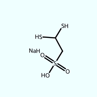 O=S(=O)(O)CC(S)S.[NaH]